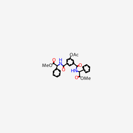 COC(=O)C(NC(=O)c1cc(OC(C)=O)cc(C(=O)NC(C(=O)OC)c2ccccc2)c1)c1ccccc1